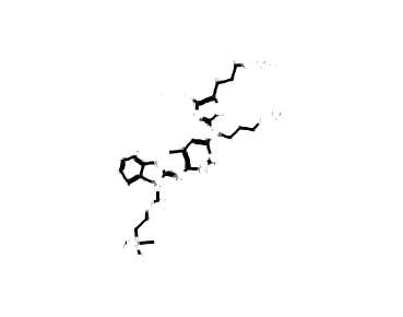 CCOC(=O)c1nc(N(CCCOC)c2cc(C)c(/N=c3\sc4ccccc4n3COCC[Si](C)(C)C)nn2)sc1CCCOC